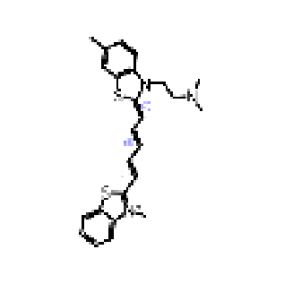 Cc1ccc2c(c1)S\C(=C/C=C/C=C/c1sc3ccccc3[n+]1C)N2CCN(C)C